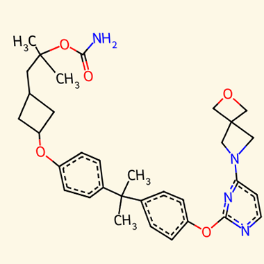 CC(C)(CC1CC(Oc2ccc(C(C)(C)c3ccc(Oc4nccc(N5CC6(COC6)C5)n4)cc3)cc2)C1)OC(N)=O